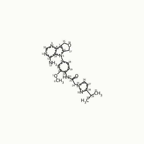 COc1cc(-n2c3c(c4ncnc(N)c42)COC3)ccc1NC(=O)Cn1ccc(C(C)C)n1